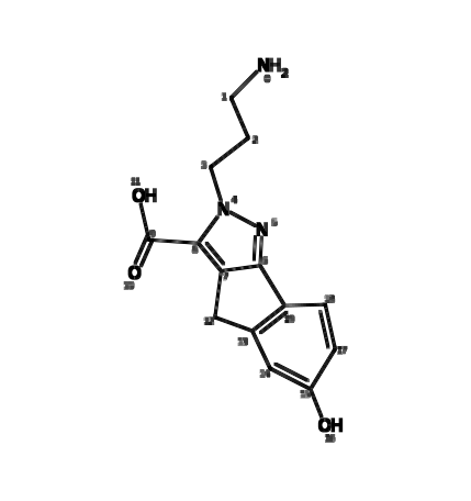 NCCCn1nc2c(c1C(=O)O)Cc1cc(O)ccc1-2